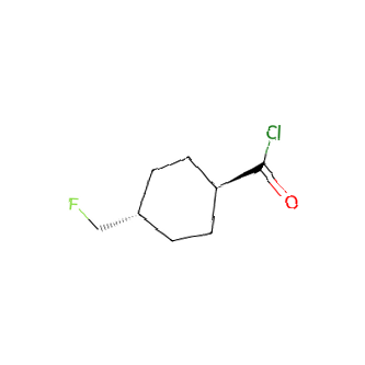 O=C(Cl)[C@H]1CC[C@H](CF)CC1